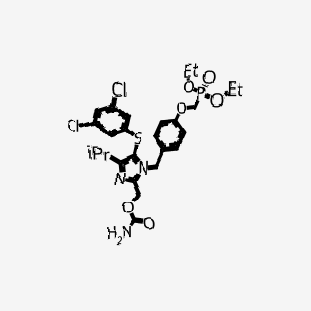 CCOP(=O)(COc1ccc(Cn2c(COC(N)=O)nc(C(C)C)c2Sc2cc(Cl)cc(Cl)c2)cc1)OCC